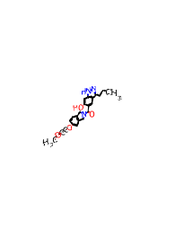 CCCc1n[nH]c2cc(O)c(C(=O)N3Cc4ccc(OCCOC)cc4C3)cc12